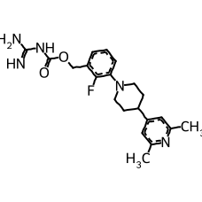 Cc1cc(C2CCN(c3cccc(COC(=O)NC(=N)N)c3F)CC2)cc(C)n1